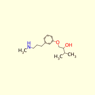 CNCCCc1cccc(OCC(O)C(C)C)c1